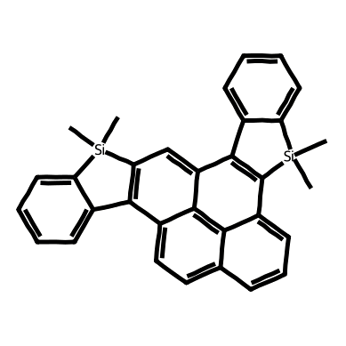 C[Si]1(C)c2ccccc2-c2c1cc1c3c(c4cccc5ccc2c1c54)[Si](C)(C)c1ccccc1-3